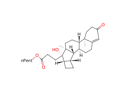 CCCCCOC(=O)CC[C@]1(O)[C@H]2CC[C@H]2[C@H]2[C@@H]3CCC4=CC(=O)CC[C@]4(C)[C@H]3CC[C@@]21C